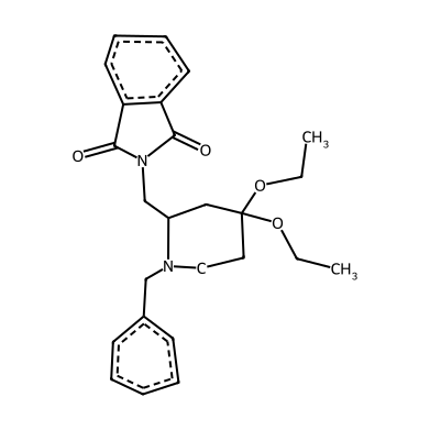 CCOC1(OCC)CCN(Cc2ccccc2)C(CN2C(=O)c3ccccc3C2=O)C1